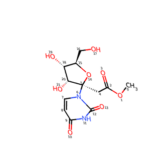 COC(=O)C[C@@]1(n2ccc(=O)[nH]c2=O)O[C@H](CO)[C@@H](O)[C@H]1O